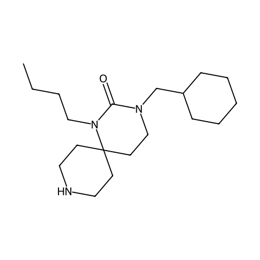 CCCCN1C(=O)N(CC2CCCCC2)CCC12CCNCC2